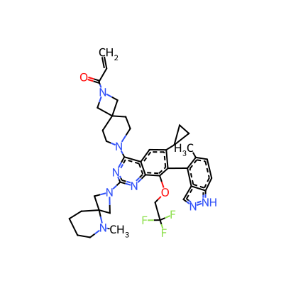 C=CC(=O)N1CC2(CCN(c3nc(N4CC5(CCCCN5C)C4)nc4c(OCC(F)(F)F)c(-c5c(C)ccc6[nH]ncc56)c(C5CC5)cc34)CC2)C1